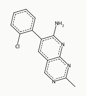 Cc1ncc2cc(-c3ccccc3Cl)c(N)nc2n1